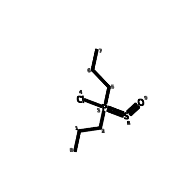 CCCP(Cl)(CCC)=S=O